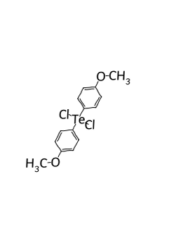 COc1ccc([Te](Cl)(Cl)c2ccc(OC)cc2)cc1